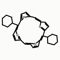 [C]1CCCCC1c1c2nc(cc3ccc([nH]3)c(C3[C]CCCC3)c3nc(cc4ccc1[nH]4)C=C3)C=C2